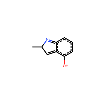 CC1C=c2c(O)cccc2=N1